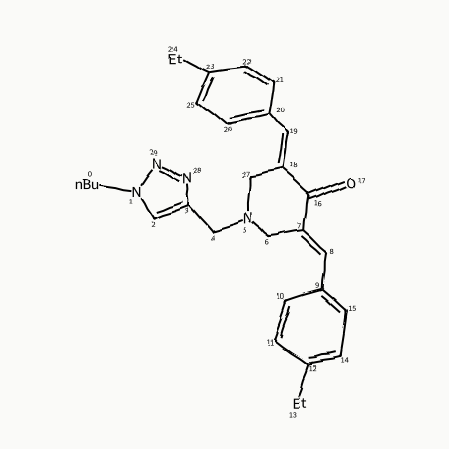 CCCCn1cc(CN2CC(=Cc3ccc(CC)cc3)C(=O)C(=Cc3ccc(CC)cc3)C2)nn1